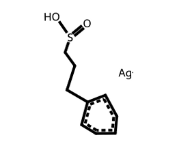 O=S(O)CCCc1ccccc1.[Ag]